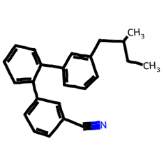 CCC(C)Cc1cccc(-c2ccccc2-c2cccc(C#N)c2)c1